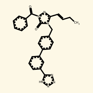 CCC=Cc1nn(C(=O)c2ccccc2)c(=O)n1Cc1ccc(-c2cccc(-c3nnn[nH]3)c2)cc1